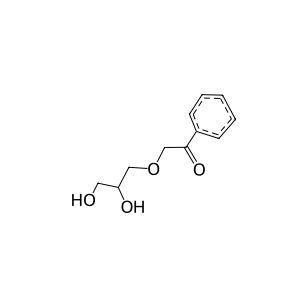 O=C(COCC(O)CO)c1ccccc1